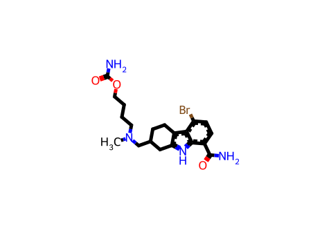 CN(CCCCOC(N)=O)CC1CCc2c([nH]c3c(C(N)=O)ccc(Br)c23)C1